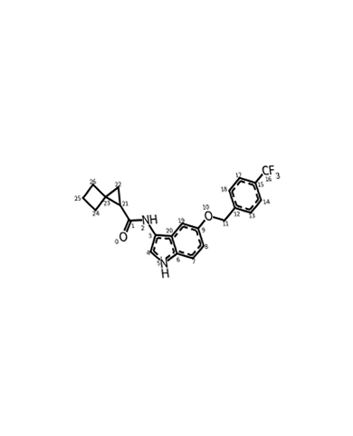 O=C(Nc1c[nH]c2ccc(OCc3ccc(C(F)(F)F)cc3)cc12)C1CC12CCC2